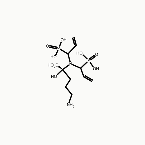 C=CC(N(C(C=C)P(=O)(O)O)[C@@](O)(CCCN)C(=O)O)P(=O)(O)O